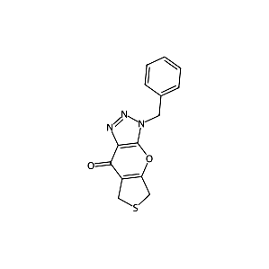 O=c1c2c(oc3c1nnn3Cc1ccccc1)CSC2